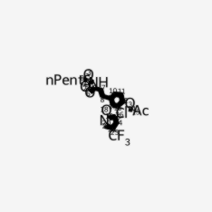 CCCCCS(=O)(=O)NC(=O)/C=C/c1ccc(OCC(C)=O)cc1Oc1ncc(C(F)(F)F)cc1Cl